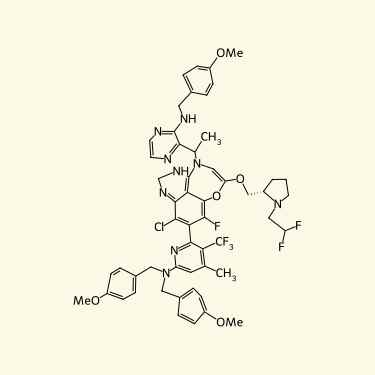 COc1ccc(CNc2nccnc2C(C)N2C=C(OC[C@@H]3CCCN3CC(F)F)Oc3c(F)c(-c4nc(N(Cc5ccc(OC)cc5)Cc5ccc(OC)cc5)cc(C)c4C(F)(F)F)c(Cl)c4c3=C2NCN=4)cc1